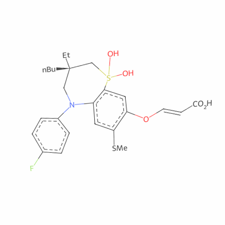 CCCC[C@]1(CC)CN(c2ccc(F)cc2)c2cc(SC)c(O/C=C/C(=O)O)cc2S(O)(O)C1